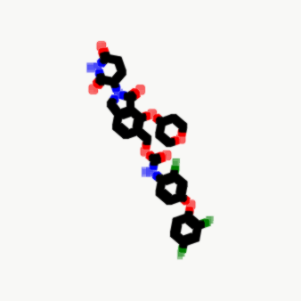 O=C1CCC(N2Cc3ccc(COC(=O)Nc4ccc(Oc5ccc(F)cc5F)cc4F)c(OC4CCOCC4)c3C2=O)C(=O)N1